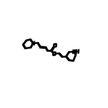 O=C(CC=CCN1CCCCC1)OCCC1CCCNC1